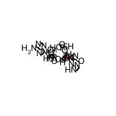 Nc1ncnc2c1ncn2[C@@H]1O[C@@H]2COP(=O)(S)O[C@@H]3[C@H](O)[C@H](C[C@H]3n3cnc4c(=O)n5cc[nH]c5nc43)OP(=O)(S)[C@H]2[C@H]1F